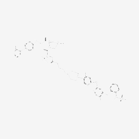 Cc1ncsc1-c1ccc(CNC(=O)[C@H]2C[C@@H](O)CN2C(=O)[C@@H](NC(=O)CCCCN2CCN(c3ccc(Nc4ncc(Cl)c(Nc5ccccc5N(C)S(C)(=O)=O)n4)cc3F)CC2)C(C)(C)C)cc1